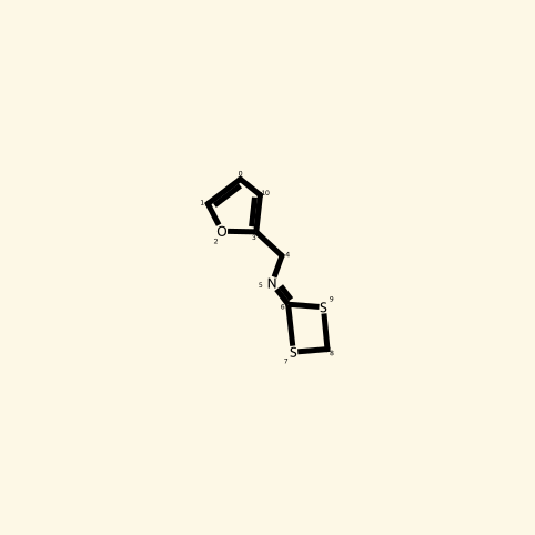 c1coc(CN=C2SCS2)c1